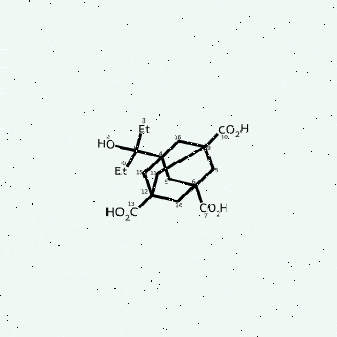 CCC(O)(CC)C12CC3(C(=O)O)CC(C(=O)O)(CC(C(=O)O)(C3)C1)C2